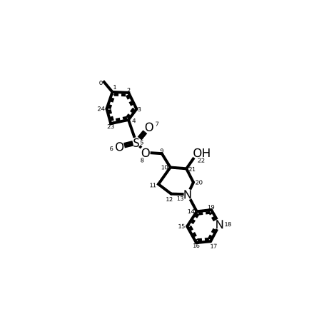 Cc1ccc(S(=O)(=O)OCC2CCN(c3cccnc3)CC2O)cc1